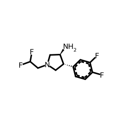 N[C@@H]1CN(CC(F)F)C[C@H]1c1ccc(F)c(F)c1